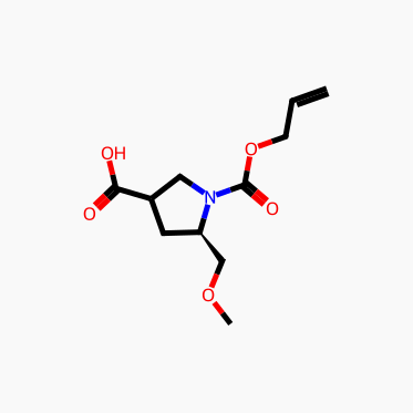 C=CCOC(=O)N1CC(C(=O)O)C[C@@H]1COC